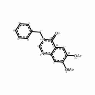 COc1cc2ncn(Cc3ccccc3)c(=O)c2cc1OC(C)=O